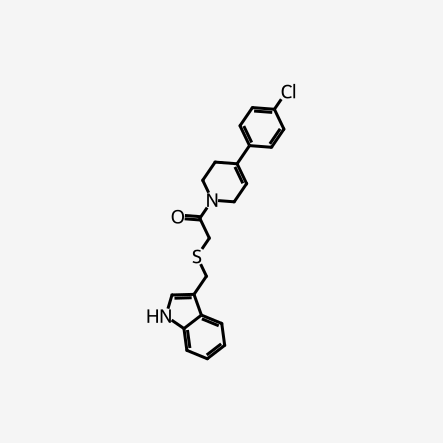 O=C(CSCc1c[nH]c2ccccc12)N1CC=C(c2ccc(Cl)cc2)CC1